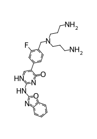 NCCCN(CCCN)Cc1ccc(-c2c[nH]c(Nc3nc4ccccc4o3)nc2=O)cc1F